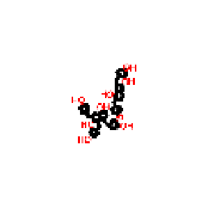 Oc1ccc(Cc2cc3c(O)c(Cc4ccc(Oc5cc(Cc6ccc(O)c7cc(Cc8ccc(O)cc8)c(O)c(Cc8ccc(O)cc8)c67)ccc5O)cc4)ccc3cc2O)cc1